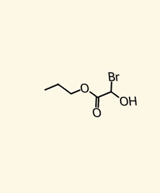 CCCOC(=O)C(O)Br